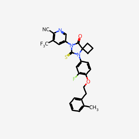 Cc1ccccc1CCOc1ccc(N2C(=S)N(c3cnc(C#N)c(C(F)(F)F)c3)C(=O)C23CCC3)cc1F